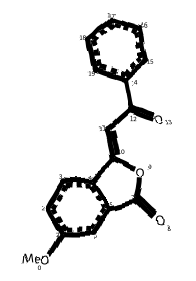 COc1ccc2c(c1)C(=O)OC2=CC(=O)c1ccccc1